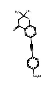 CCOC(=O)c1ccc(C#Cc2ccc3c(c2)C(=O)CC(C)(C)S3)nc1